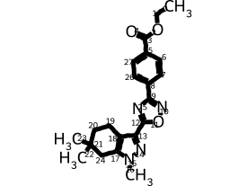 CCOC(=O)c1ccc(-c2noc(-c3nn(C)c4c3CCC(C)(C)C4)n2)cc1